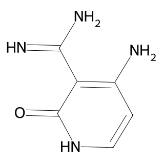 N=C(N)c1c(N)cc[nH]c1=O